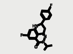 CC(C)n1nc2c3c(cc(F)cc3c1=O)NC(c1ccc(F)cc1)C2